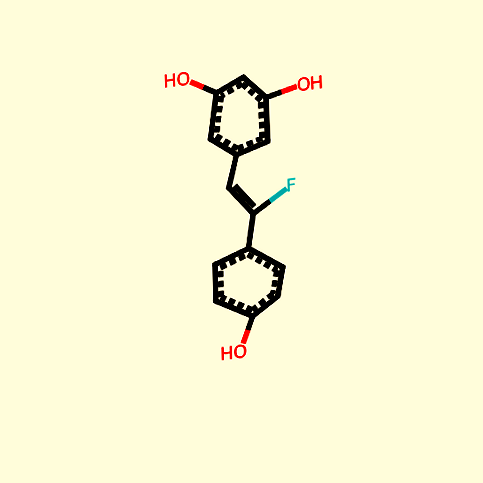 Oc1ccc(/C(F)=C/c2cc(O)cc(O)c2)cc1